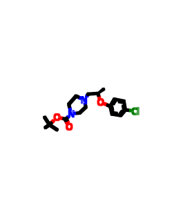 C[C@H](CN1CCN(C(=O)OC(C)(C)C)CC1)Oc1ccc(Cl)cc1